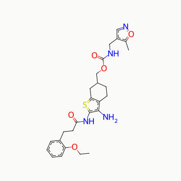 CCOc1ccccc1CCC(=O)Nc1sc2c(c1N)CCC(COC(=O)NCc1cnoc1C)C2